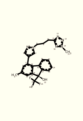 Cc1cc(-c2cnn(CCCc3nnn(C)n3)c2)c2c(c1)[C@@](O)(C(F)(F)F)c1ccccc1-2